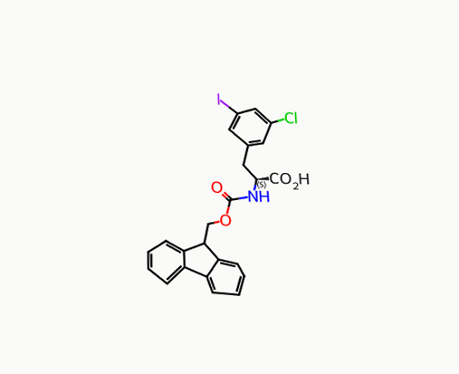 O=C(N[C@@H](Cc1cc(Cl)cc(I)c1)C(=O)O)OCC1c2ccccc2-c2ccccc21